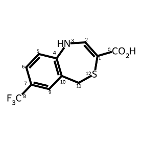 O=C(O)C1=CNc2ccc(C(F)(F)F)cc2CS1